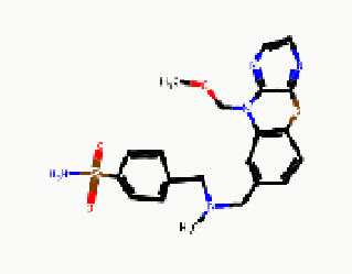 COCN1c2cc(CN(C)Cc3ccc(S(N)(=O)=O)cc3)ccc2Sc2nccnc21